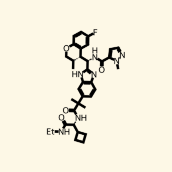 CCNC(=O)[C@H](NC(=O)C(C)(C)c1ccc2nc([C@@H](NC(=O)c3ccnn3C)[C@H]3c4cc(F)ccc4OCC3C)[nH]c2c1)C1CCC1